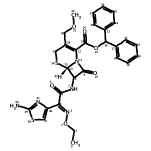 CCON=C(C(=O)NC1C(=O)N2C(C(=O)OC(c3ccccc3)c3ccccc3)=C(COC)CS[C@@H]12)c1csc(N)n1